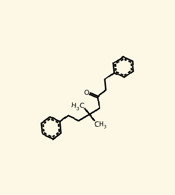 CC(C)(CCc1ccccc1)CC(=O)CCc1ccccc1